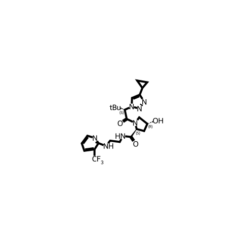 CC(C)(C)[C@@H](C(=O)N1C[C@H](O)C[C@H]1C(=O)NCCNc1ncccc1C(F)(F)F)n1cc(C2CC2)nn1